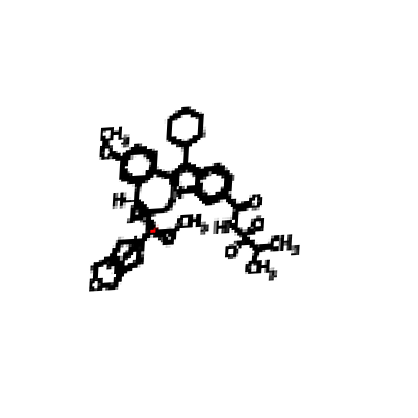 COC(=O)N1CC23COCC2(C1)CN(C(=O)[C@]12C[C@H]1c1cc(OC)ccc1-c1c(C4CCCCC4)c4ccc(C(=O)NS(=O)(=O)C(C)C)cc4n1C2)C3